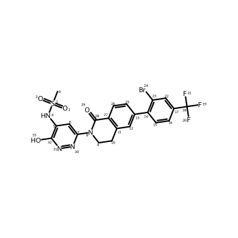 CS(=O)(=O)Nc1cc(N2CCc3cc(-c4ccc(C(F)(F)F)cc4Br)ccc3C2=O)nnc1O